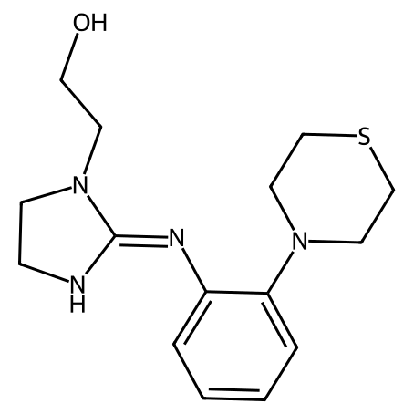 OCCN1CCNC1=Nc1ccccc1N1CCSCC1